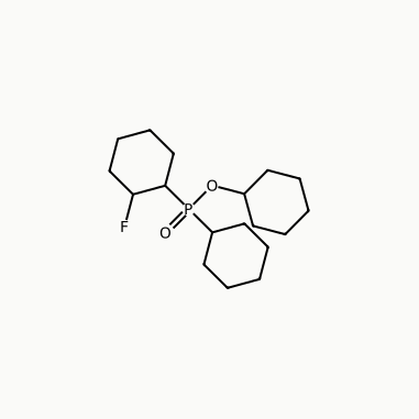 O=P(OC1CCCCC1)(C1CCCCC1)C1CCCCC1F